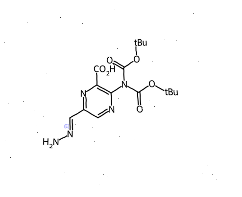 CC(C)(C)OC(=O)N(C(=O)OC(C)(C)C)c1ncc(/C=N/N)nc1C(=O)O